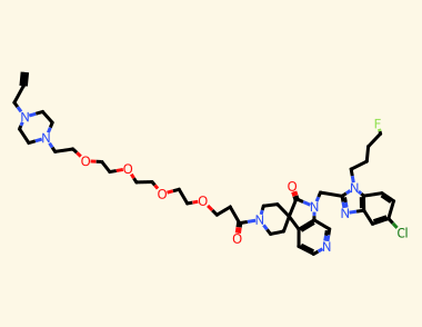 C#CCN1CCN(CCOCCOCCOCCOCCC(=O)N2CCC3(CC2)C(=O)N(Cc2nc4cc(Cl)ccc4n2CCCCF)c2cnccc23)CC1